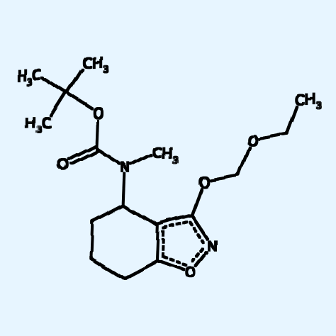 CCOCOc1noc2c1C(N(C)C(=O)OC(C)(C)C)CCC2